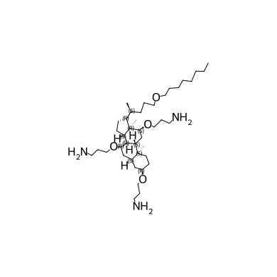 CCCCCCCCOCCC[C@H](C)[C@H]1CC[C@H]2[C@@H]3[C@H](OCCCN)C[C@@H]4C[C@H](OCCCN)CC[C@]4(C)[C@H]3C[C@H](OCCCN)[C@]12C